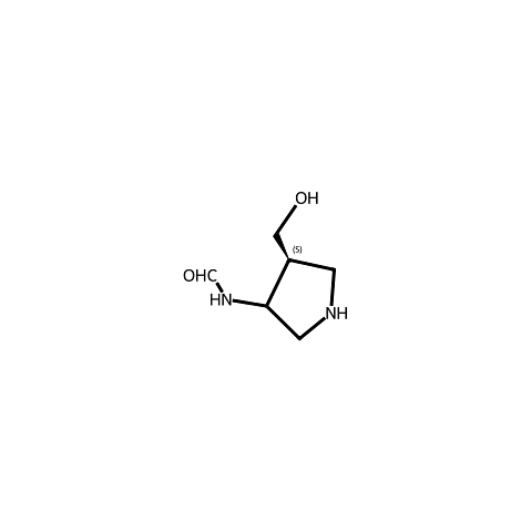 O=CNC1CNC[C@@H]1CO